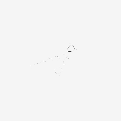 CCCCCCCCC(O)CN(c1ccccc1)C(O)CCN1CCOCC1